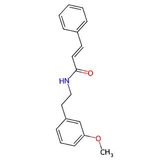 COc1cccc(CCNC(=O)/C=C/c2ccccc2)c1